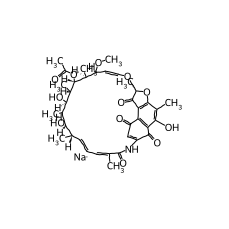 CO[C@H]1/C=C/O[C@@]2(C)Oc3c(C)c(O)c4c(c3C2=O)C(=O)C=C(NC(=O)/C(C)=C\C=C\[C@H](C)[C@H](O)[C@@H](C)[C@@H](O)[C@H](C)[C@H](OC(C)=O)[C@H]1C)C4=O.[Na]